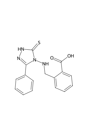 O=C(O)c1ccccc1CNn1c(-c2ccccc2)n[nH]c1=S